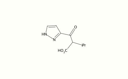 CC(C)C(C(=O)O)C(=O)c1cc[nH]n1